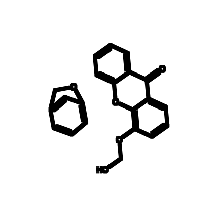 O=c1c2ccccc2oc2c(OCO)cccc12.c1cc2cc(c1)OC2